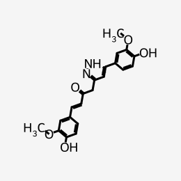 COc1cc(/C=C/C(=O)CC(/C=C/c2ccc(O)c(OC)c2)=NN)ccc1O